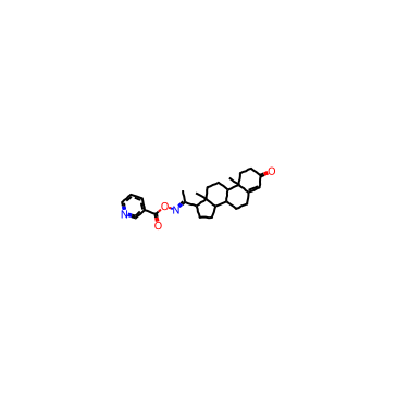 C/C(=N\OC(=O)c1cccnc1)C1CCC2C3CCC4=CC(=O)CCC4(C)C3CCC12C